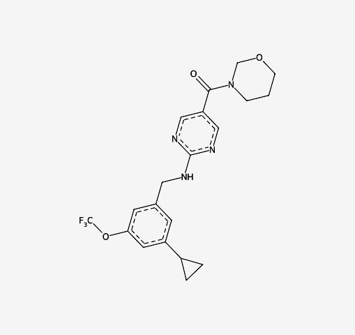 O=C(c1cnc(NCc2cc(OC(F)(F)F)cc(C3CC3)c2)nc1)N1CCCOC1